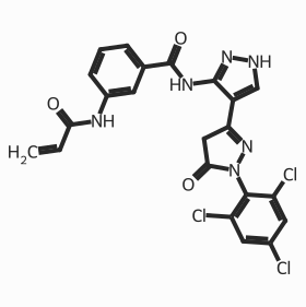 C=CC(=O)Nc1cccc(C(=O)Nc2n[nH]cc2C2=NN(c3c(Cl)cc(Cl)cc3Cl)C(=O)C2)c1